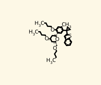 CCCCOC[C@@H]1C[C@H](OCCCC)C[C@H](c2cc(C3(c4cc5ccccc5s4)CC3)c(C)cc2OCCCC)O1